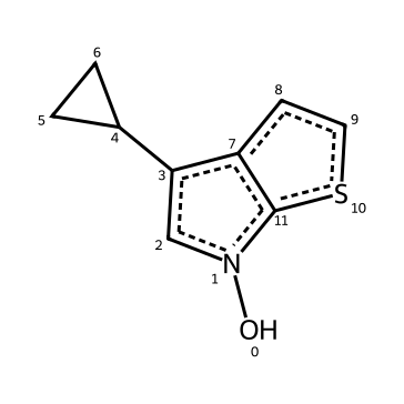 On1cc(C2CC2)c2ccsc21